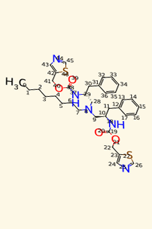 CCCCCCCCN(C[C@@H](Cc1ccccc1)NC(=O)OCc1cncs1)C[C@@H](Cc1ccccc1)NC(=O)OCc1cncs1